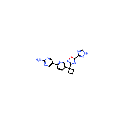 Nc1ncc(-c2ccc(C3(c4noc(-c5nc[nH]n5)n4)CCC3)cn2)cn1